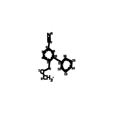 [CH2]OCc1ccc(C#N)cc1-c1ccccc1